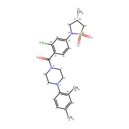 Cc1ccc(N2CCN(C(=O)c3ccc(N4C[C@H](C)CS4(=O)=O)cc3F)CC2)c(C)c1